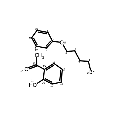 BrCCCCOc1ccccc1.CC(=O)c1ccccc1O